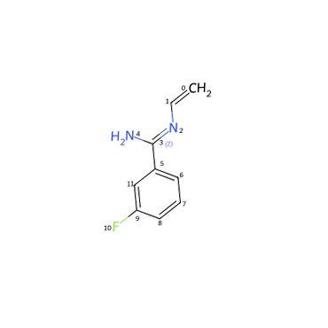 C=C/N=C(\N)c1cccc(F)c1